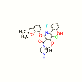 CC1(C)Cc2cccc(Oc3nc(-c4c(O)cccc4F)c(Cl)c4c3C(=O)N3CCNC[C@@H]3CO4)c2O1